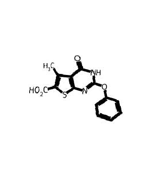 Cc1c(C(=O)O)sc2nc(Oc3ccccc3)[nH]c(=O)c12